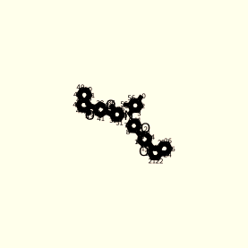 Cc1ccc(N(c2ccc3c(c2)oc2cc4c(cc23)oc2ccc3ccccc3c24)c2ccc3c(c2)oc2cc4c(cc23)oc2ccc3ccccc3c24)c(C)c1